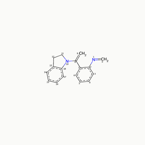 C=Nc1ccccc1C(=C)N1CCc2ccccc21